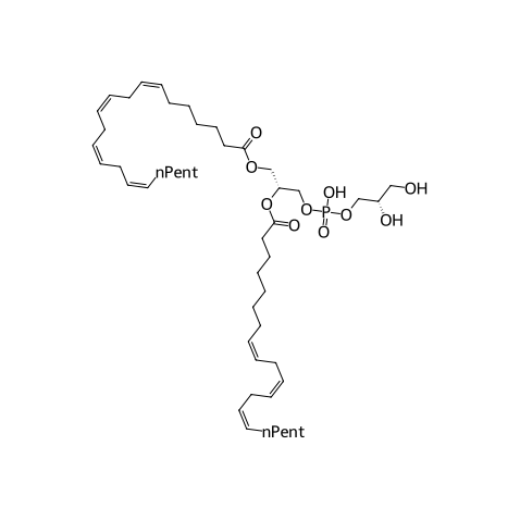 CCCCC/C=C\C/C=C\C/C=C\C/C=C\CCCCCC(=O)OC[C@H](COP(=O)(O)OC[C@@H](O)CO)OC(=O)CCCCCC/C=C\C/C=C\C/C=C\CCCCC